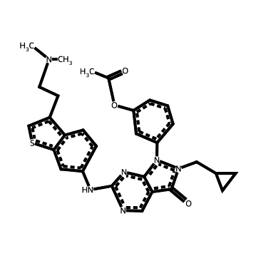 CC(=O)Oc1cccc(-n2c3nc(Nc4ccc5c(CCN(C)C)csc5c4)ncc3c(=O)n2CC2CC2)c1